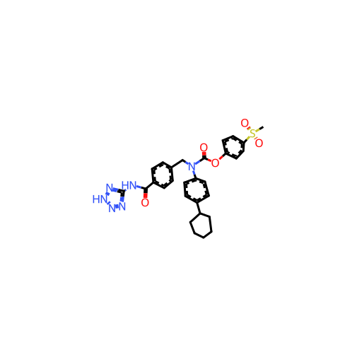 CS(=O)(=O)c1ccc(OC(=O)N(Cc2ccc(C(=O)Nc3nn[nH]n3)cc2)c2ccc(C3CCCCC3)cc2)cc1